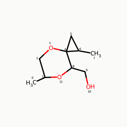 CC1COC2(CC2C)C(CO)O1